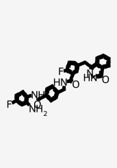 Nc1cc(F)ccc1NC(=O)c1ccc(CNC(=O)c2cc(Cc3n[nH]c(=O)c4ccccc34)ccc2F)cc1